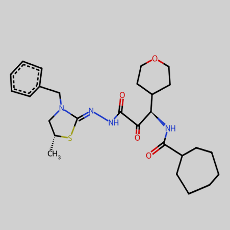 C[C@@H]1CN(Cc2ccccc2)/C(=N/NC(=O)C(=O)[C@H](NC(=O)C2CCCCCC2)C2CCOCC2)S1